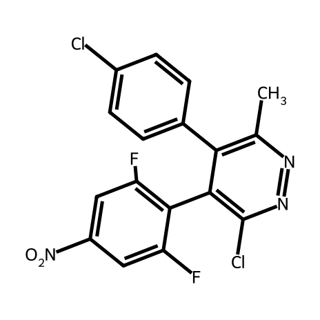 Cc1nnc(Cl)c(-c2c(F)cc([N+](=O)[O-])cc2F)c1-c1ccc(Cl)cc1